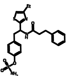 CCc1csc(C(Cc2ccc(OS(N)(=O)=O)cc2)NC(=O)CCc2ccccc2)n1